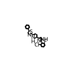 Fc1cccc(Cl)c1-c1nc(C2=CC=C(C3=NCC(c4ccccc4)S3)NC2)c[nH]1